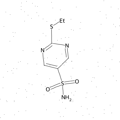 CCSc1ncc(S(N)(=O)=O)cn1